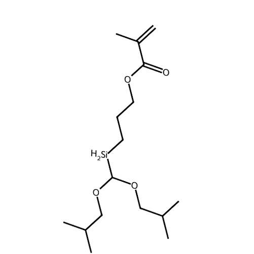 C=C(C)C(=O)OCCC[SiH2]C(OCC(C)C)OCC(C)C